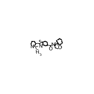 Cc1ncccc1-c1nc2cc(C(=O)N[C@H]3CCOc4ccccc43)ccc2s1